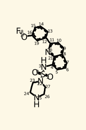 O=S(=O)(Nc1cccc2ccc(-c3cccc(OF)c3)nc12)N1CCNCC1